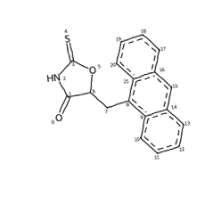 O=C1NC(=S)OC1Cc1c2ccccc2cc2ccccc12